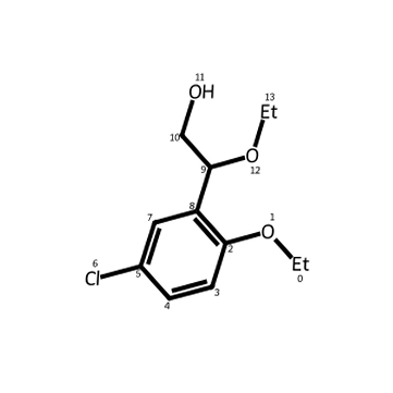 CCOc1ccc(Cl)cc1C(CO)OCC